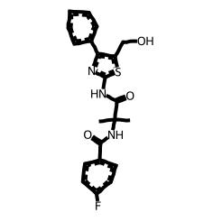 CC(C)(NC(=O)c1ccc(F)cc1)C(=O)Nc1nc(-c2ccccc2)c(CO)s1